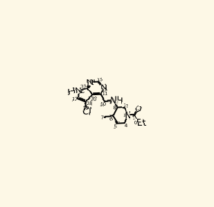 CCC(=O)N1CCC(C)C(NCc2ncnc3[nH]cc(Cl)c23)C1